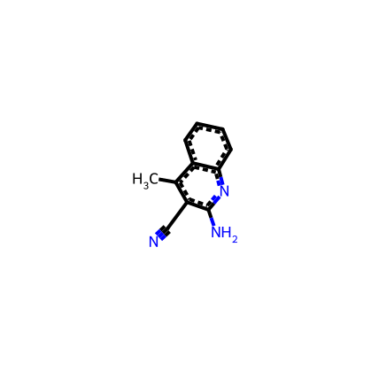 Cc1c(C#N)c(N)nc2ccccc12